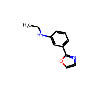 CCNc1cccc(-c2ncco2)c1